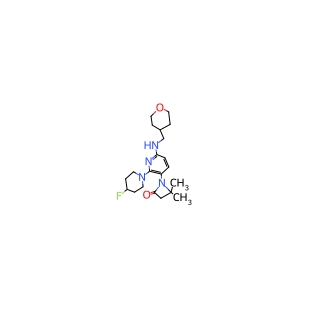 CC1(C)CC(=O)N1c1ccc(NCC2CCOCC2)nc1N1CCC(F)CC1